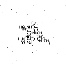 COc1ncc(-c2ccc3c(Nc4cc(Nc5cccc(C(F)(F)F)c5)cc(C(=N)NO)c4)c(C(N)=O)cnc3c2)c(OC)n1